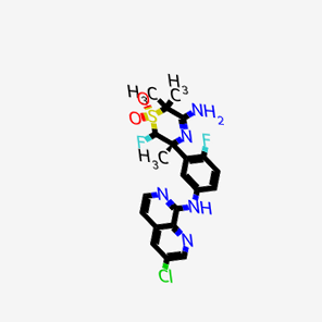 CC1(C)C(N)=N[C@](C)(c2cc(Nc3nccc4cc(Cl)cnc34)ccc2F)C(F)S1(=O)=O